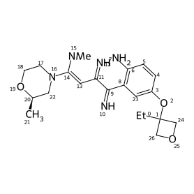 CCC1(Oc2ccc(N)c(C(=N)C(=N)/C=C(\NC)N3CCO[C@H](C)C3)c2)COC1